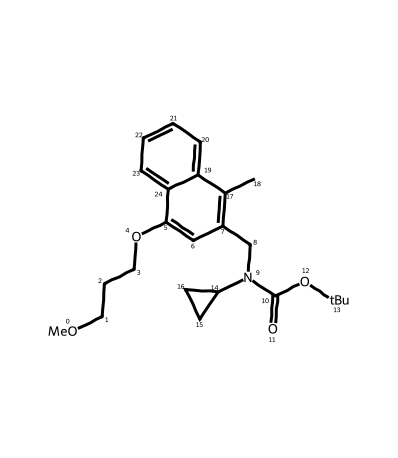 COCCCOc1cc(CN(C(=O)OC(C)(C)C)C2CC2)c(C)c2ccccc12